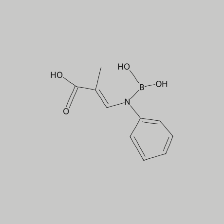 C/C(=C\N(B(O)O)c1ccccc1)C(=O)O